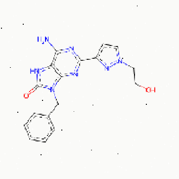 Nc1nc(-c2ccn(CCO)n2)nc2c1[nH]c(=O)n2Cc1ccccc1